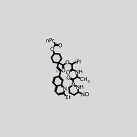 CCCC(=O)OC1CCC(/C=C/c2ccc3ccc(CC)nc3c2)(C(=O)OC(C(=O)NC(C)C(=O)N2CCCC(N=O)N2)C(C)C)CC1